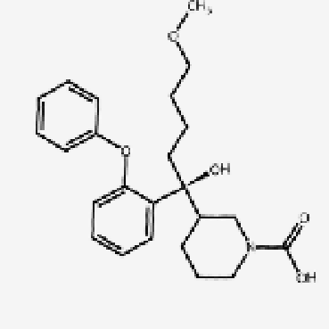 COCCCC[C@@](O)(c1ccccc1Oc1ccccc1)C1CCCN(C(=O)O)C1